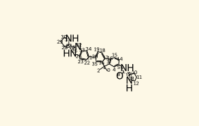 CC1(C)c2cc(NC(=O)[C@@H]3CCCN3)ccc2-c2ccc(-c3ccc4[nH]c([C@@H]5CCCN5)nc4c3)cc21